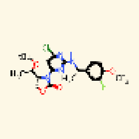 C[C@H](Nc1nc(Cl)cc(N2C(=O)OC[C@@H]2[C@@H](C)OC(C)(C)C)n1)c1ccc(OC(F)(F)F)c(F)c1